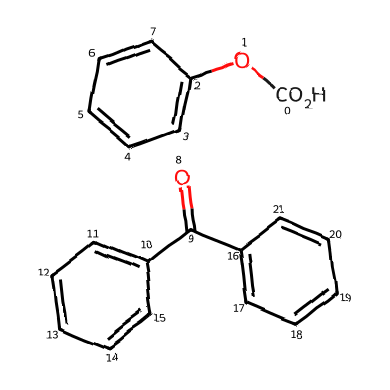 O=C(O)Oc1ccccc1.O=C(c1ccccc1)c1ccccc1